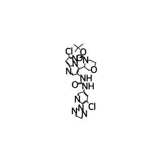 CC(C)(C)OC(=O)N1CCOCC1c1c(NC(=O)Nc2cnc(-n3nccn3)c(Cl)c2)cnc2cc(Cl)nn12